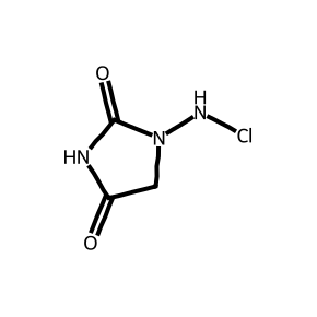 O=C1CN(NCl)C(=O)N1